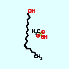 CCCC/C=C\CCCCCCCCCCO.CS(=O)(=O)O